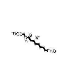 O=CCCCCCCCC(=O)NCC(=O)[O-].[K+]